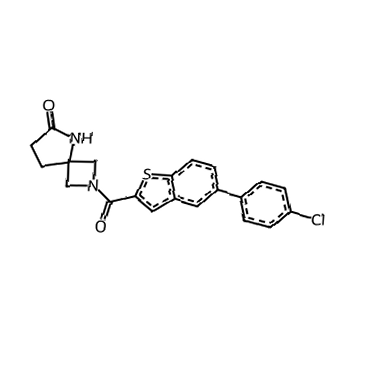 O=C1CCC2(CN(C(=O)c3cc4cc(-c5ccc(Cl)cc5)ccc4s3)C2)N1